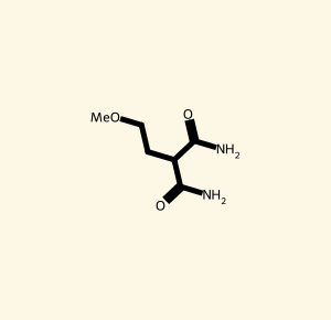 COCCC(C(N)=O)C(N)=O